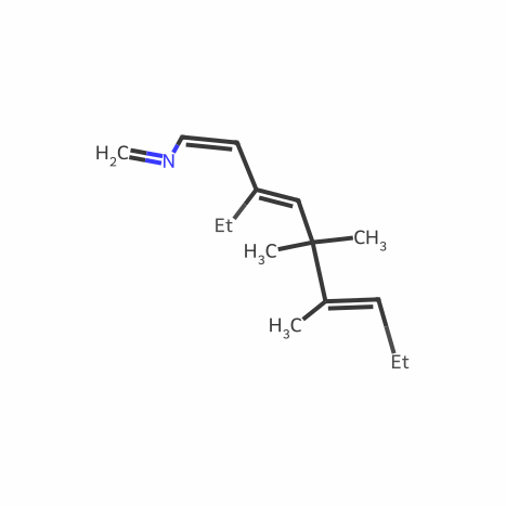 C=N/C=C\C(=C\C(C)(C)/C(C)=C/CC)CC